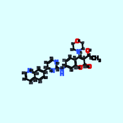 CC(=O)c1c(N2CCOCC2)c2ccc(Nc3nccc(-c4ccc5cccnc5c4)n3)cc2oc1=O